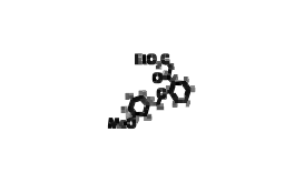 CCOC(=O)CC(=O)c1ccccc1OCc1cccc(OC)c1